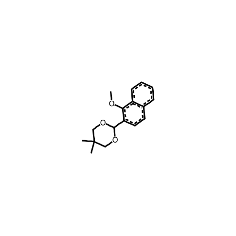 COc1c(C2OCC(C)(C)CO2)ccc2ccccc12